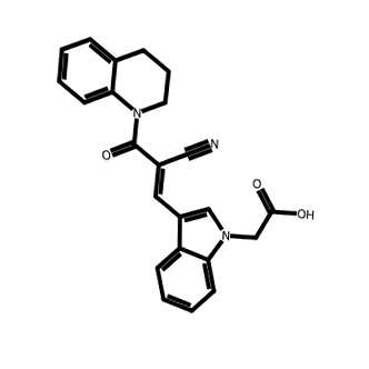 N#CC(=Cc1cn(CC(=O)O)c2ccccc12)C(=O)N1CCCc2ccccc21